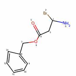 NC(Br)CC(=O)OCc1ccccc1